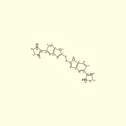 c1cc2oc(CCc3cc4cc(C5=NCCN5)ccc4o3)cc2cc1C1=NCCN1